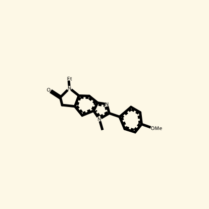 CCN1C(=O)Cc2cc3c(cc21)nc(-c1ccc(OC)cc1)n3C